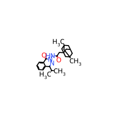 CC(C)c1nn(NC(=O)CC23CC4CC(C)(CC(C)(C4)C2)C3)c(=O)c2ccccc12